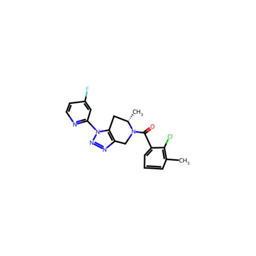 Cc1cccc(C(=O)N2Cc3nnn(-c4cc(F)ccn4)c3C[C@@H]2C)c1Cl